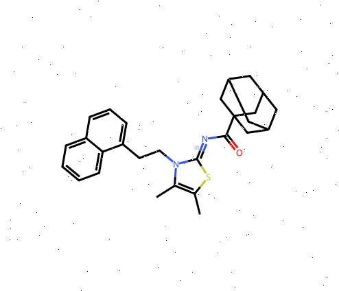 Cc1s/c(=N\C(=O)C23CC4CC(CC(C4)C2)C3)n(CCc2cccc3ccccc23)c1C